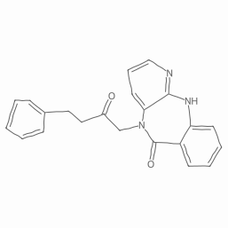 O=C(CCc1ccccc1)CN1C(=O)c2ccccc2Nc2ncccc21